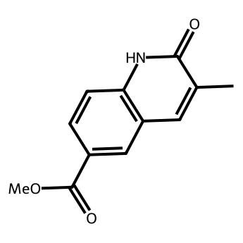 COC(=O)c1ccc2[nH]c(=O)c(C)cc2c1